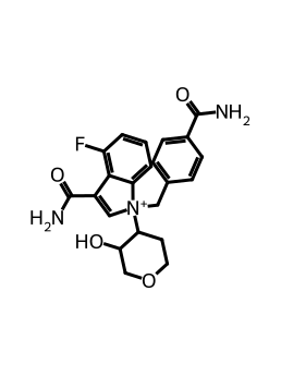 NC(=O)C1=C[N+](Cc2ccc(C(N)=O)cc2)(C2CCOCC2O)c2cccc(F)c21